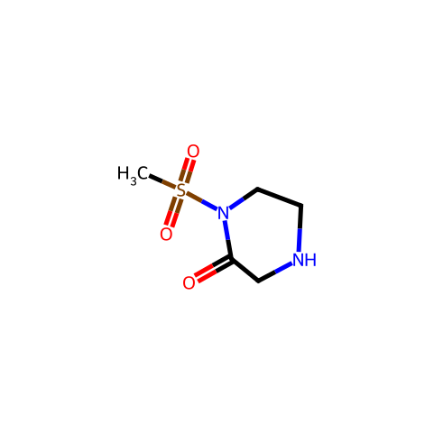 CS(=O)(=O)N1CCNCC1=O